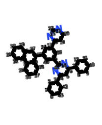 c1ccc(-c2cc(-c3ccccc3)nc(-c3cc(-c4ccncn4)cc(-c4cc5ccccc5c5ccccc45)c3)n2)cc1